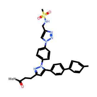 CNC(=O)CCc1cc(-c2ccc(-c3ccc(C)cc3)cc2)n(-c2ccc(-n3cc(CNS(C)(=O)=O)nn3)cc2)n1